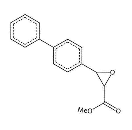 COC(=O)C1OC1c1ccc(-c2ccccc2)cc1